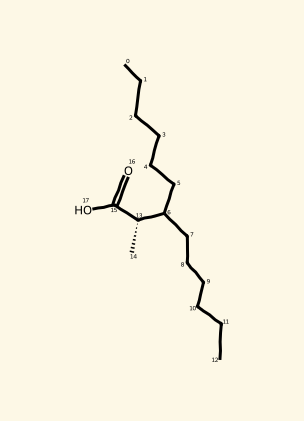 CCCCCCC(CCCCCC)[C@H](C)C(=O)O